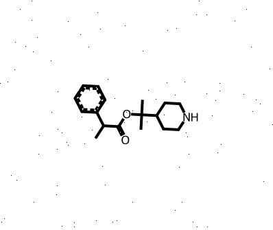 CC(C(=O)OC(C)(C)C1CCNCC1)c1ccccc1